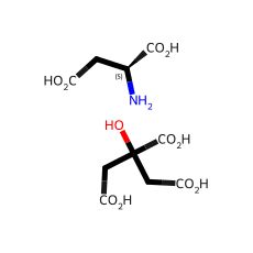 N[C@@H](CC(=O)O)C(=O)O.O=C(O)CC(O)(CC(=O)O)C(=O)O